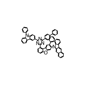 c1ccc(-c2ccc(-c3nc(-c4ccc5c(c4)c4ccccc4n5-c4ccccc4)nc(-c4cccc5oc6cc(-n7c8ccccc8c8cc9ccccc9cc87)c(-c7ccccc7)cc6c45)n3)cc2)cc1